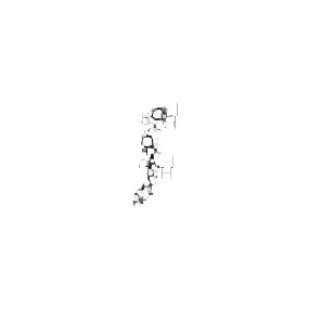 CC(Oc1ccc2nc(NC(=O)NCCN3CCN(C)CC3)sc2c1)c1c(F)ccc(Cl)c1Cl